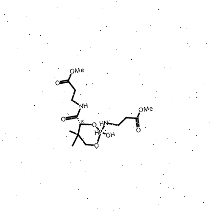 COC(=O)CCNC(=O)[C@@H]1O[PH](O)(NCCC(=O)OC)OCC1(C)C